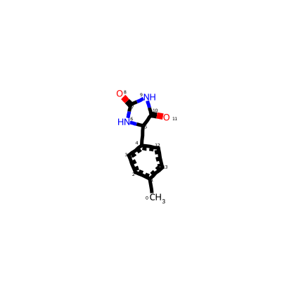 Cc1ccc(C2NC(=O)NC2=O)cc1